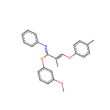 COc1cccc(OC(=N\c2ccccc2)/C(C)=C/Oc2ccc(C)cc2)c1